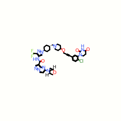 O=C1CCN(c2cc(C#CCOC3CCN(C[C@H]4CC[C@H](n5cc(NC(=O)c6cnn7ccc(N8C[C@H]9C[C@@H]8CO9)nc67)c(C(F)F)n5)CC4)CC3)ccc2Cl)C(=O)N1